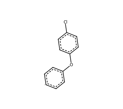 Clc1ccc(Oc2cc[c]cc2)cc1